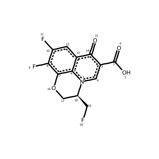 O=C(O)c1cn2c3c(c(F)c(F)cc3c1=O)OC[C@@H]2CF